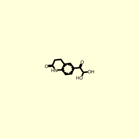 O=C1CCc2cc(C(=O)C(O)O)ccc2N1